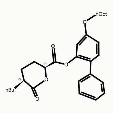 CCCCCCCCOc1ccc(-c2ccccc2)c(OC(=O)[C@@H]2CC[C@H](CCCC)C(=O)O2)c1